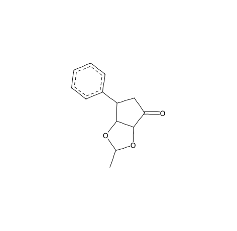 CC1OC2C(=O)CC(c3ccccc3)C2O1